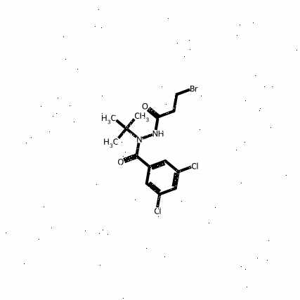 CC(C)(C)N(NC(=O)CCBr)C(=O)c1cc(Cl)cc(Cl)c1